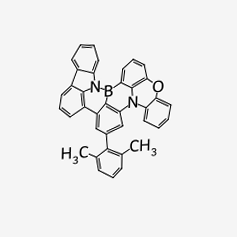 Cc1cccc(C)c1-c1cc2c3c(c1)N1c4ccccc4Oc4cccc(c41)B3n1c3ccccc3c3cccc-2c31